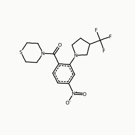 O=C(c1ccc([N+](=O)[O-])cc1N1CCC(C(F)(F)F)C1)N1CCSCC1